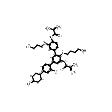 C=C(C)C(=O)Oc1ccc(-c2cc(-c3ccc(C4CCC(C)CC4)cc3CC)cc(OC(=O)C(=C)C)c2OCCCCO)cc1OCCCO